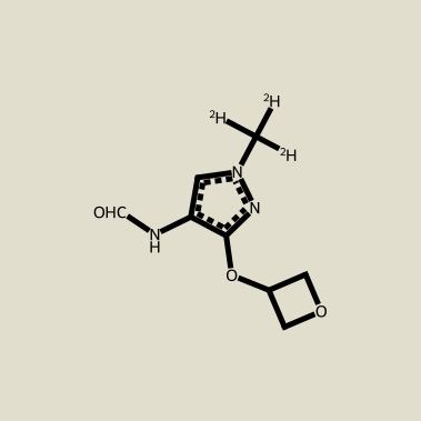 [2H]C([2H])([2H])n1cc(NC=O)c(OC2COC2)n1